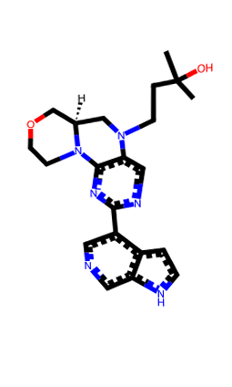 CC(C)(O)CCN1C[C@@H]2COCCN2c2nc(-c3cncc4[nH]ccc34)ncc21